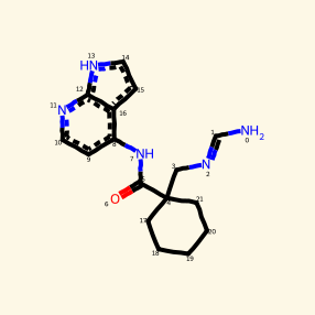 NC=NCC1(C(=O)Nc2ccnc3[nH]ccc23)CCCCC1